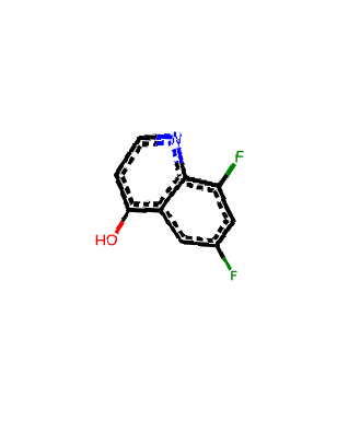 Oc1ccnc2c(F)cc(F)cc12